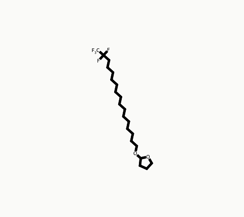 FC(F)(F)C(F)(F)CCCCCCCCCCCCCCCOC1CCCO1